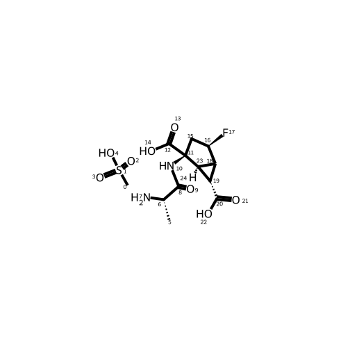 CS(=O)(=O)O.C[C@H](N)C(=O)N[C@@]1(C(=O)O)C[C@@H](F)C2[C@H](C(=O)O)[C@H]21